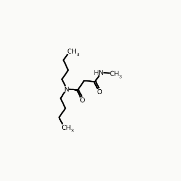 CCCCN(CCCC)C(=O)CC(=O)NC